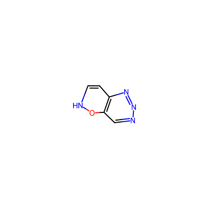 C1=Cc2nnncc2ON1